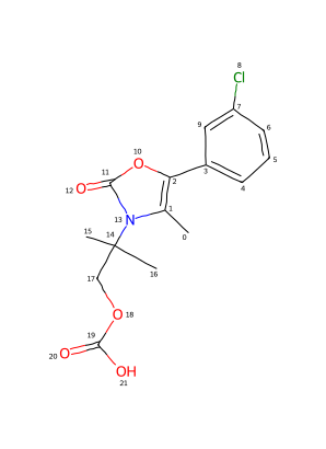 Cc1c(-c2cccc(Cl)c2)oc(=O)n1C(C)(C)COC(=O)O